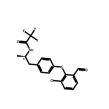 C[C@H](Cc1ccc(Sc2c(Cl)cccc2C=O)cc1)NC(=O)C(F)(F)F